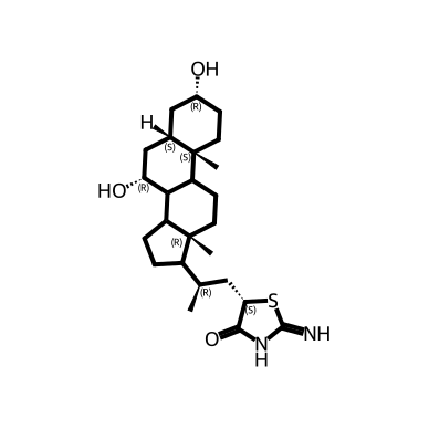 C[C@H](C[C@@H]1SC(=N)NC1=O)C1CCC2C3C(CC[C@@]21C)[C@@]1(C)CC[C@@H](O)C[C@H]1C[C@H]3O